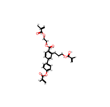 C=C(C)C(=O)OCCCc1cc(-c2ccc(OC(=O)C(=C)C)cc2)ccc1C(=O)OCCOC(=O)C(=C)C